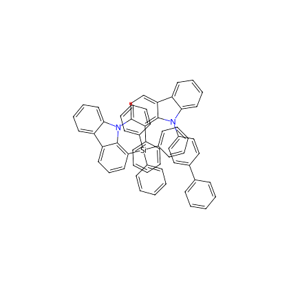 c1ccc(-c2ccc(-n3c4ccccc4c4ccc(-n5c6ccccc6c6cccc([Si](c7ccccc7)(c7ccccc7)c7ccccc7)c65)c(-c5ccccc5)c43)cc2)cc1